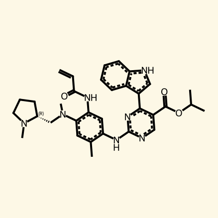 C=CC(=O)Nc1cc(Nc2ncc(C(=O)OC(C)C)c(-c3c[nH]c4ccccc34)n2)c(C)cc1N(C)C[C@H]1CCCN1C